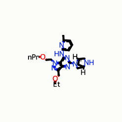 CCCOCCn1nc(COCC)c2nc(N3C[C@@H]4C[C@H]3CN4)nc(Nc3cccc(C)n3)c21